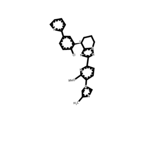 COc1nc(-c2nc3n(n2)CCC[C@@H]3c2cc(-c3ccccn3)ccc2Cl)ccc1-n1cnc(C)c1